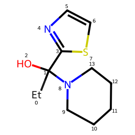 CCC(O)(c1nccs1)N1CCCCC1